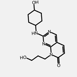 O=c1ccc2cnc(NC3CCC(O)CC3)nc2n1CCCO